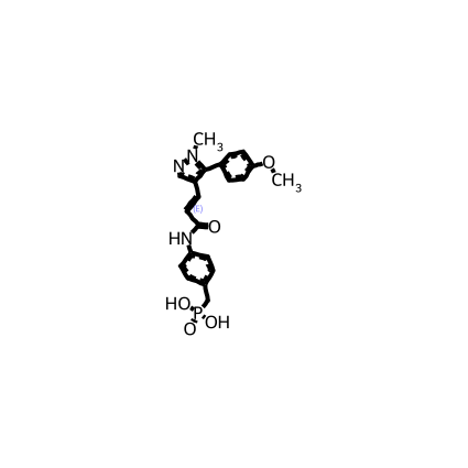 COc1ccc(-c2c(/C=C/C(=O)Nc3ccc(CP(=O)(O)O)cc3)cnn2C)cc1